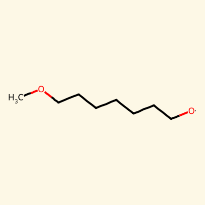 COCCCCCCC[O]